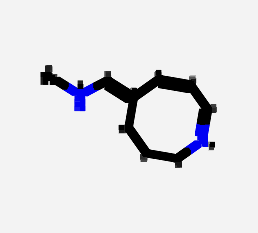 CC(C)N/C=C1/C=C\C=N/CCC1